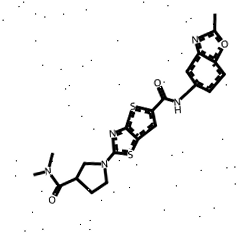 Cc1nc2cc(NC(=O)c3cc4sc(N5CCC(C(=O)N(C)C)C5)nc4s3)ccc2o1